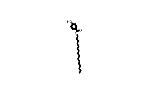 CCCCCCCCCCCCCCCCOC(=O)c1ccc(O)cc1